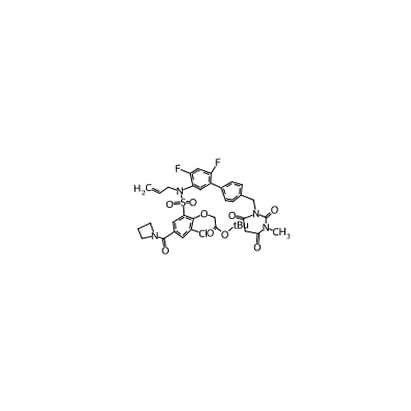 C=CCN(c1cc(-c2ccc(CN3C(=O)CC(=O)N(C)C3=O)cc2)c(F)cc1F)S(=O)(=O)c1cc(C(=O)N2CCC2)cc(Cl)c1OCC(=O)OC(C)(C)C